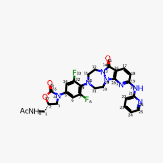 CC(=O)NC[C@H]1CN(c2cc(F)c(N3CCn4c(=O)c5ccc(Nc6ccccn6)nc5n4CC3)c(F)c2)C(=O)O1